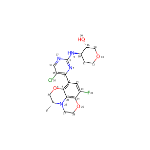 C[C@@H]1COc2c(-c3nc(N[C@@H]4CCOC[C@H]4O)ncc3Cl)cc(F)c3c2N1CCO3